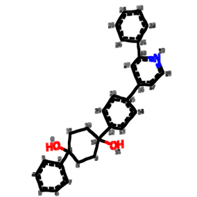 OC1(c2ccccc2)CCC(O)(c2ccc(-c3ccnc(-c4ccccc4)c3)cc2)CC1